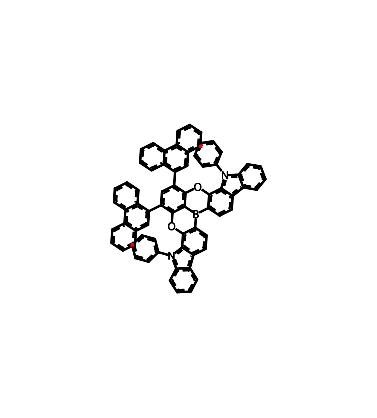 c1ccc(-n2c3ccccc3c3ccc4c(c32)Oc2c(-c3cc5ccccc5c5ccccc35)cc(-c3cc5ccccc5c5ccccc35)c3c2B4c2ccc4c5ccccc5n(-c5ccccc5)c4c2O3)cc1